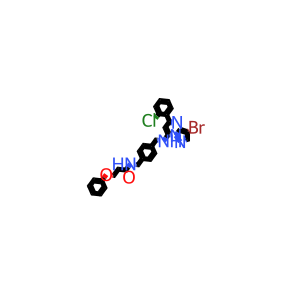 O=C(CCOc1ccccc1)NCc1ccc(CNc2cc(-c3ccccc3Cl)nc3c(Br)cnn23)cc1